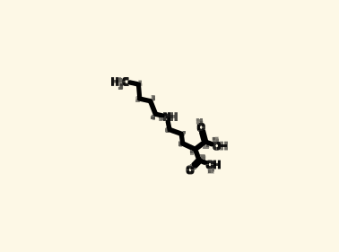 CCCCCNCCCC(C(=O)O)C(=O)O